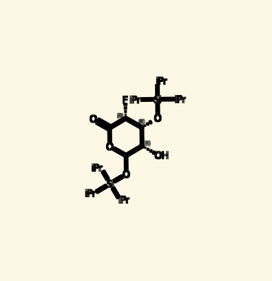 CC(C)[Si](OC1OC(=O)[C@H](F)[C@H](O[Si](C(C)C)(C(C)C)C(C)C)[C@@H]1O)(C(C)C)C(C)C